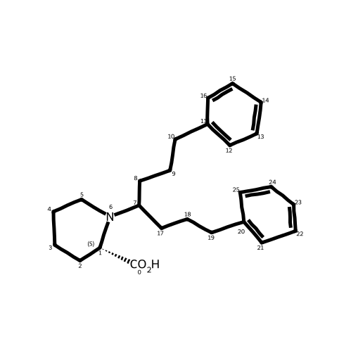 O=C(O)[C@@H]1CCCCN1C(CCCc1ccccc1)CCCc1ccccc1